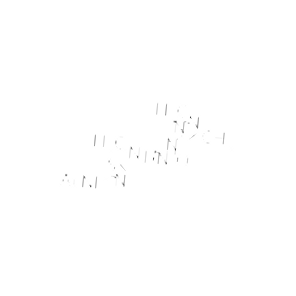 CC(=O)Nc1ncc([C@@H](C)N2CCC3(CC2)CN(c2cc(C)nc(C)n2)C(=O)N3)s1